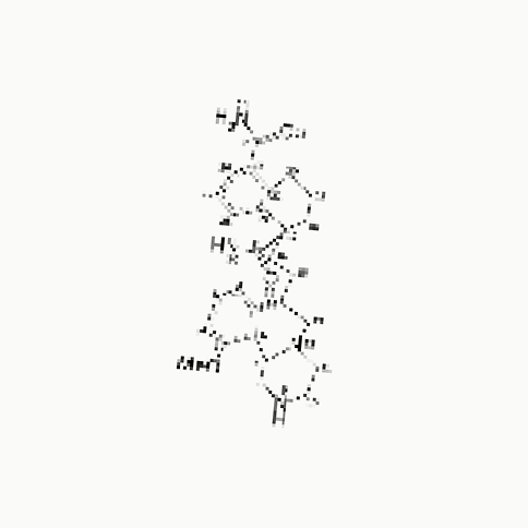 COc1ccccc1C1CNCCN1CCCCC12CCCc3c(C(N)=O)ccc(c31)NC2=O